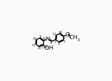 COc1ccc(C=Nc2ccccc2O)cc1